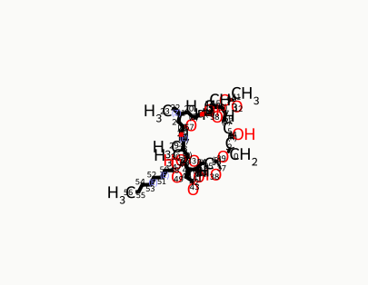 C=C1C[C@H](O)C[C@@H]2C[C@H](OC(C)=O)C(C)(C)[C@](O)(C[C@@H]3C/C(=C/C)C[C@H](/C=C/C(C)(C)[C@]4(O)O[C@H](C[C@H](CO)O1)[C@@H]1OC(=O)C=C1[C@@H]4OC(=O)/C=C/C=C/CCC)O3)O2